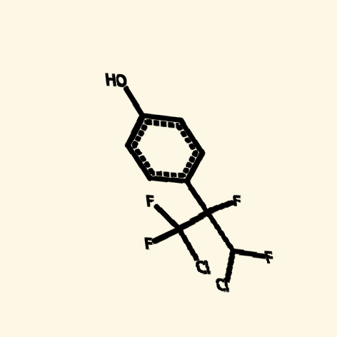 Oc1ccc(C(F)(C(F)Cl)C(F)(F)Cl)cc1